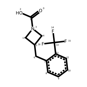 O=C(O)N1CC(Cc2ccccc2C(F)(F)F)C1